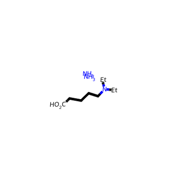 CCN(CC)CCCCC(=O)O.N.N